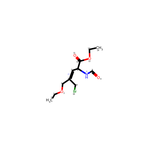 CCOC/C(=C/C(NC=O)C(=O)OCC)CBr